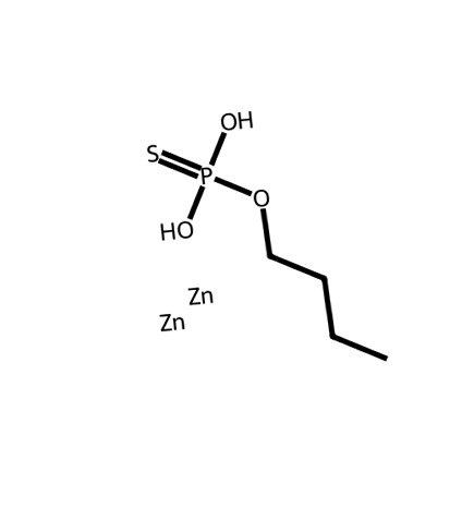 CCCCOP(O)(O)=S.[Zn].[Zn]